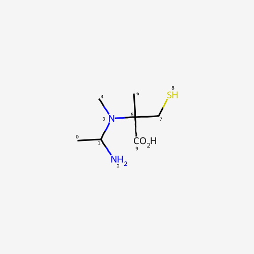 CC(N)N(C)C(C)(CS)C(=O)O